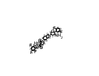 N[C@H]1C[C@@H](N2Cc3ccc(N4CCC(O)(C(=O)NCc5cc(F)cc(F)c5F)C4=O)cc3C2)CO[C@@H]1c1cc(F)ccc1F